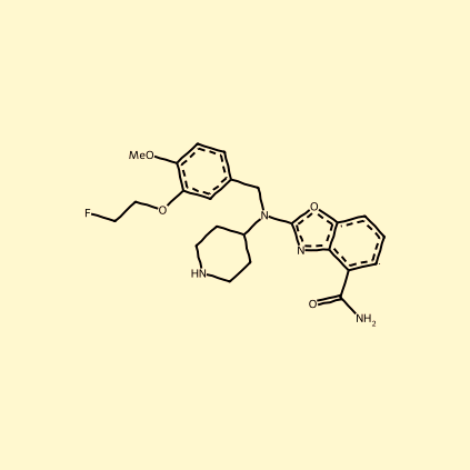 COc1ccc(CN(c2nc3c(C(N)=O)[c]ccc3o2)C2CCNCC2)cc1OCCF